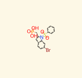 O=P(O)(O)Cc1cc2ccc(Br)cc2n1S(=O)(=O)c1ccccc1